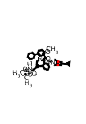 COc1ccc(C2CCCCC2)c2c1cc1n2CC2=C(C(=O)NS(=O)(=O)C(C)C)C2=C2C=CC[C@@H](C(=O)N3CC45CCC4(C3)CN(C3CC3)C5)[C@@H]21